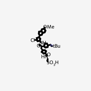 COc1ccc2cc(-c3cc(Cl)cc(NC(=O)C(Cc4ccc(C(=O)NCCS(=O)(=O)O)cc4)c4ccc(/C=C/C(C)(C)C)cc4)c3)ccc2c1